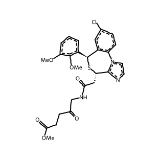 COC(=O)CCC(=O)CNC(=O)C[C@@H]1S[C@@H](c2cccc(OC)c2OC)c2cc(Cl)ccc2-n2ccnc21